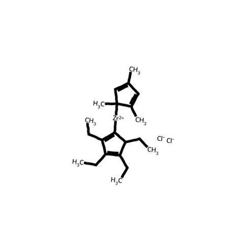 CCC1=C(CC)C(CC)[C]([Zr+2][C]2(C)C=C(C)C=C2C)=C1CC.[Cl-].[Cl-]